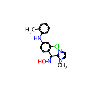 Cc1ccccc1Nc1ccc(/C(=N\O)c2nccn2C)c(Cl)c1